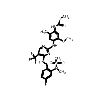 COC(=O)Nc1cc(OC)c(Nc2ncc(C(F)(F)F)c(NCc3ccc(F)cc3N(C)S(C)(=O)=O)n2)cc1C